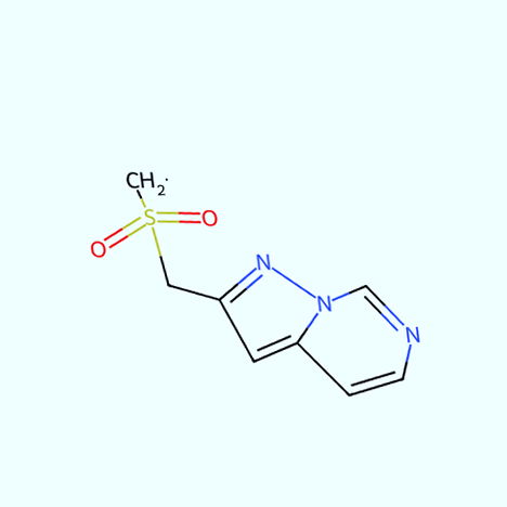 [CH2]S(=O)(=O)Cc1cc2ccncn2n1